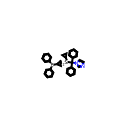 c1ccc(B(c2ccccc2)C2CC2)cc1.c1ccc(C([SiH2]C2CC2)(c2ccccc2)n2ccnc2)cc1